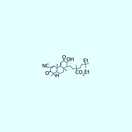 CCOC(=O)[C@@](C)(CCC(C)(C)CC)CC[C@]1(C)[C@](C)(O)C(=O)C=C2[C@@]3(C)C=C(C#N)C(=O)C(C)(C)[C@@H]3CC[C@]21C